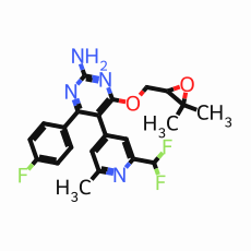 Cc1cc(-c2c(OCC3OC3(C)C)nc(N)nc2-c2ccc(F)cc2)cc(C(F)F)n1